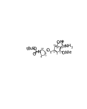 COc1cc(CO[C@@H]2CCN(C(=O)OC(C)(C)C)C2)cc2onc(N)c12